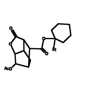 [CH2]C(=O)OC1C2CC3C1OC(=O)C3C2C(=O)OC1(CC)CCCCC1